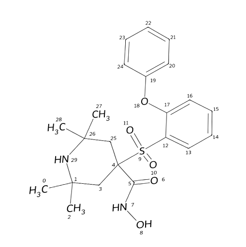 CC1(C)CC(C(=O)NO)(S(=O)(=O)c2ccccc2Oc2ccccc2)CC(C)(C)N1